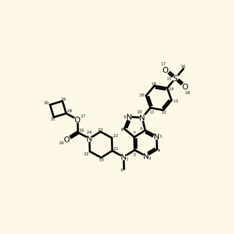 CN(c1ncnc2c1cnn2-c1ccc(S(C)(=O)=O)cc1)C1CCN(C(=O)OC2CCC2)CC1